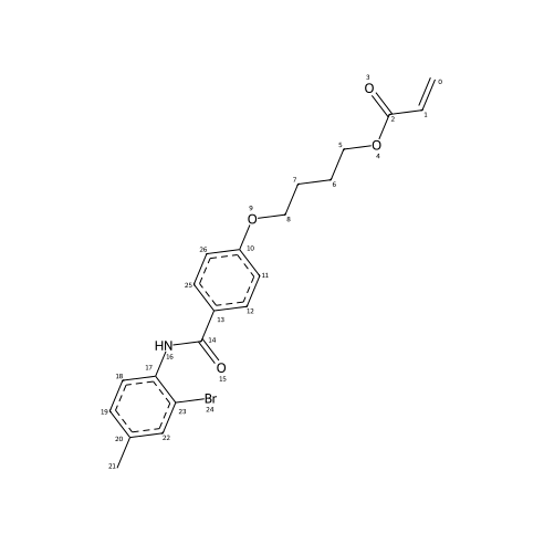 C=CC(=O)OCCCCOc1ccc(C(=O)Nc2ccc(C)cc2Br)cc1